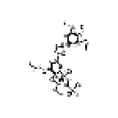 CCCOc1cc(C2CCC(c3cc(OC)c(OC)c(OC)c3)O2)cc(S(=O)(=O)CCS(C)(=O)=O)c1OCCC